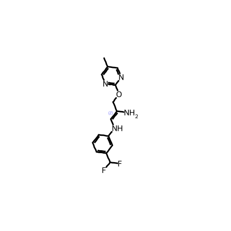 Cc1cnc(OC/C(N)=C/Nc2cccc(C(F)F)c2)nc1